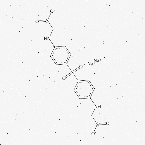 O=S([O-])CNc1ccc(S(=O)(=O)c2ccc(NCS(=O)[O-])cc2)cc1.[Na+].[Na+]